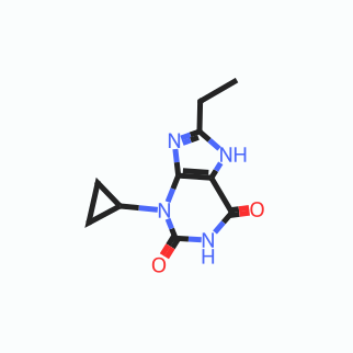 CCc1nc2c([nH]1)c(=O)[nH]c(=O)n2C1CC1